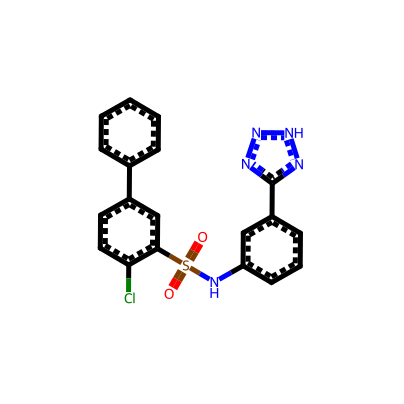 O=S(=O)(Nc1cccc(-c2nn[nH]n2)c1)c1cc(-c2ccccc2)ccc1Cl